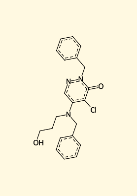 O=c1c(Cl)c(N(CCCO)Cc2ccccc2)cnn1Cc1ccccc1